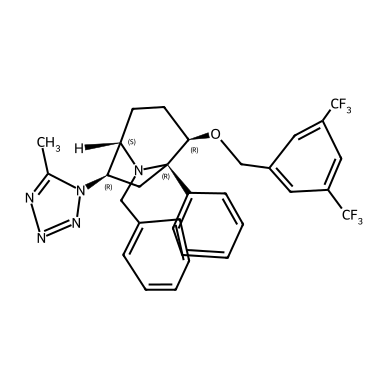 Cc1nnnn1[C@@H]1C[C@@]2(c3ccccc3)[C@H](OCc3cc(C(F)(F)F)cc(C(F)(F)F)c3)CC[C@@H]1N2Cc1ccccc1